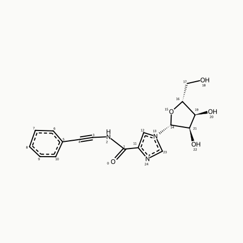 O=C(NC#Cc1ccccc1)c1cn([C@@H]2O[C@H](CO)[C@@H](O)[C@H]2O)cn1